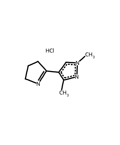 Cc1nn(C)cc1C1=NCCC1.Cl